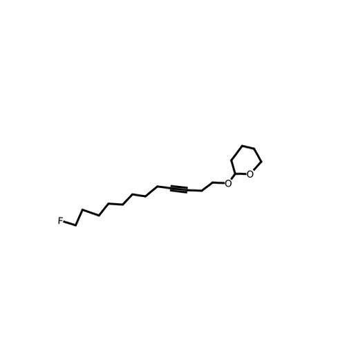 FCCCCCCCCC#CCCOC1CCCCO1